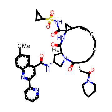 COc1ccc2nc(-c3ccccn3)cc(C(=O)N[C@@H]3C[C@H]4C(=O)NC5(C(=O)NS(=O)(=O)C6CC6)CC5/C=C\CCCCC[C@H](CC(=O)N5CCCCC5)C(=O)N4C3)c2c1